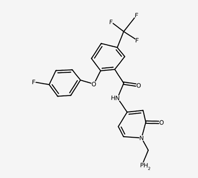 O=C(Nc1ccn(CP)c(=O)c1)c1cc(C(F)(F)F)ccc1Oc1ccc(F)cc1